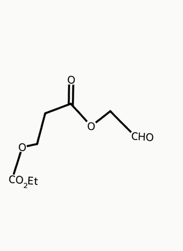 C[CH]OC(=O)OCCC(=O)OCC=O